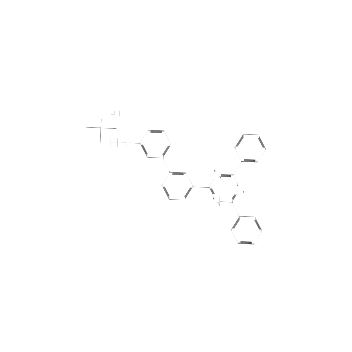 CC(C)(C)C(C)(C)CBc1cccc(-c2cccc(-c3nc(-c4ccccc4)nc(-c4ccccc4)n3)c2)c1